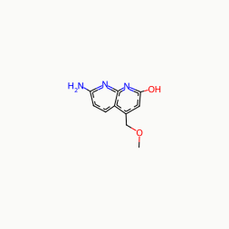 COCc1cc(O)nc2nc(N)ccc12